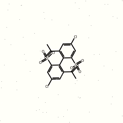 CC(=O)c1cc(Cl)cc(S(=O)(=O)Cl)c1-c1c(C(C)=O)cc(Cl)cc1S(=O)(=O)Cl